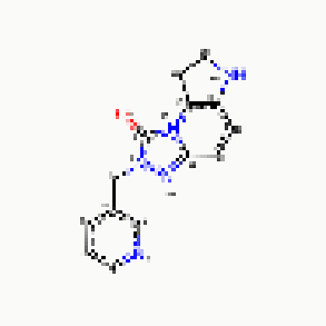 O=c1n(Cc2cccnc2)nc2ccc3c(n12)CCN3